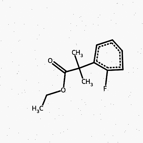 CCOC(=O)C(C)(C)c1ccccc1F